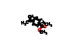 CC[C@]1(C(=O)OC)CC[C@H](C(C)C)CC1